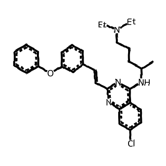 CCN(CC)CCCC(C)Nc1nc(C=Cc2cccc(Oc3ccccc3)c2)nc2cc(Cl)ccc12